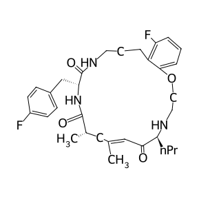 CCC[C@@H]1NCCOc2cccc(F)c2CCCNC(=O)[C@@H](Cc2ccc(F)cc2)NC(=O)[C@@H](C)C/C(C)=C/C1=O